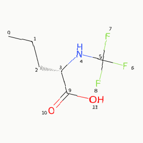 CCC[C@H](NC(F)(F)F)C(=O)O